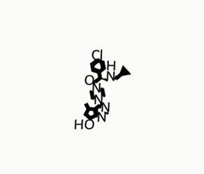 CC1C[C@@H](O)c2ncnc(N3CCN(C(=O)[C@H](CNCC4CC4)c4ccc(Cl)cc4)CC3)c21